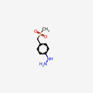 CS(=O)(=O)Cc1ccc(NN)cc1